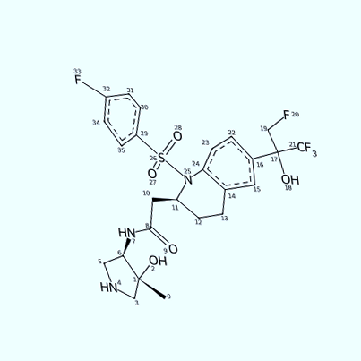 C[C@@]1(O)CNC[C@H]1NC(=O)C[C@@H]1CCc2cc(C(O)(CF)C(F)(F)F)ccc2N1S(=O)(=O)c1ccc(F)cc1